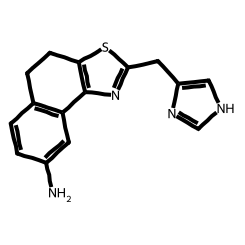 Nc1ccc2c(c1)-c1nc(Cc3c[nH]cn3)sc1CC2